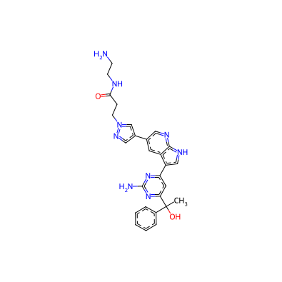 CC(O)(c1ccccc1)c1cc(-c2c[nH]c3ncc(-c4cnn(CCC(=O)NCCN)c4)cc23)nc(N)n1